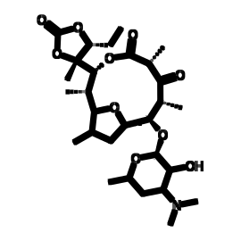 CC[C@H]1OC(=O)O[C@@]1(C)[C@@H]1OC(=O)[C@H](C)C(=O)[C@H](C)[C@@H](O[C@@H]2OC(C)CC(N(C)C)C2O)[C@@]2(C)CC(C)C(O2)[C@@H]1C